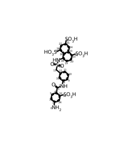 Nc1ccc(C(=O)Nc2cccc(CS(=O)(=O)Nc3ccc(S(=O)(=O)O)c4cc(S(=O)(=O)O)cc(S(=O)(=O)O)c34)c2)c(S(=O)(=O)O)c1